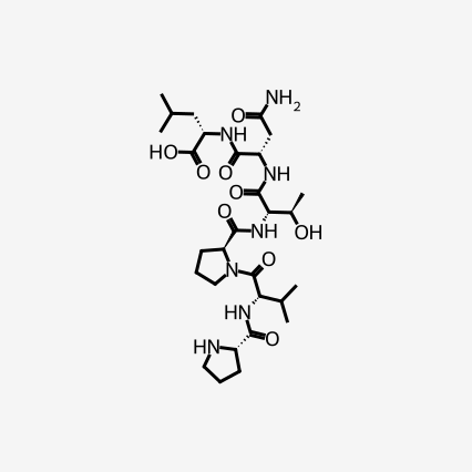 CC(C)C[C@H](NC(=O)[C@H](CC(N)=O)NC(=O)[C@@H](NC(=O)[C@@H]1CCCN1C(=O)[C@@H](NC(=O)[C@@H]1CCCN1)C(C)C)[C@@H](C)O)C(=O)O